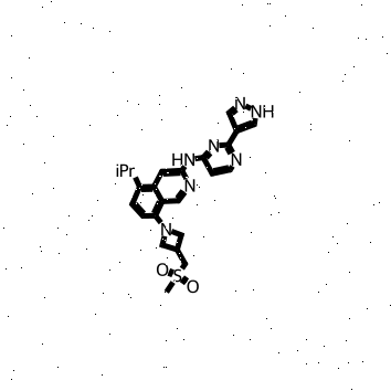 CC(C)c1ccc(N2CC(CS(C)(=O)=O)C2)c2cnc(Nc3ccnc(-c4cn[nH]c4)n3)cc12